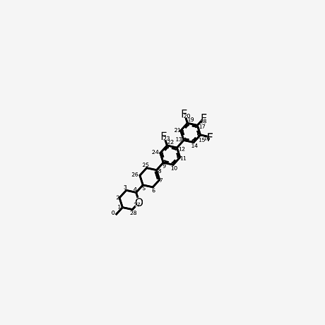 CC1CCC(C2CC=C(c3ccc(-c4cc(F)c(F)c(F)c4)c(F)c3)CC2)OC1